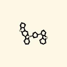 c1ccc2c(c1)oc1cc3c4ccccc4n(-c4ccc(-c5cccc6sc7ccccc7c56)cc4)c3cc12